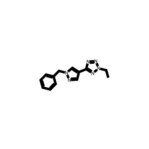 CCn1nnc(-c2cnn(Cc3ccccc3)c2)n1